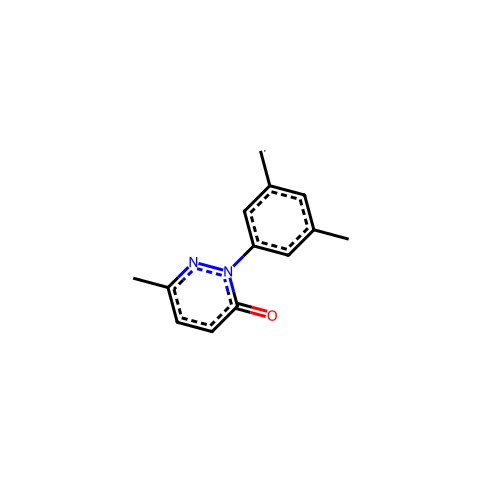 [CH2]c1cc(C)cc(-n2nc(C)ccc2=O)c1